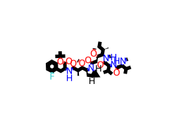 CC[C@H](C)[C@@H]([C@@H](CC(=O)N1[C@H]2C[C@H]2C[C@H]1[C@H](OC)[C@@H](C)C(=O)NC(Cc1ccccc1F)C(=O)OC(C)(C)C)OC)N(C)C(=O)C(NC(=O)C(NC)C(C)C)C(C)C